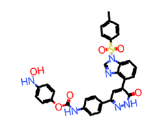 Cc1ccc(S(=O)(=O)n2cnc3c(-c4cc(-c5ccc(NC(=O)Oc6ccc(NO)cc6)cc5)n[nH]c4=O)cccc32)cc1